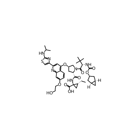 CC[C@@H]1C[C@]1(NC(=O)[C@@H]1C[C@@H](Oc2cc(-c3csc(NC(C)C)n3)nc3cc(OCCO)ccc23)CN1C(=O)[C@@H](NC(=O)O[C@@H]1C[C@@H]2C[C@@H]2C1)C(C)(C)C)C(=O)O